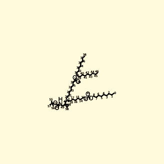 CCCCCCCCCOC(=O)OCCCCCCN(CCCCCCCC(=O)OC(CCCCCCCC)CCCCCCCC)CC1(CNC(=O)OC(C)(C)C)CC1